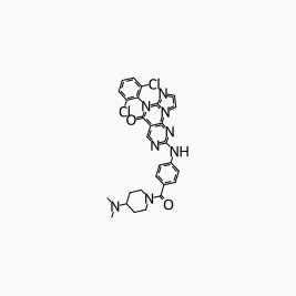 CN(C)C1CCN(C(=O)c2ccc(Nc3ncc4c(=O)n(-c5c(Cl)cccc5Cl)c5nccn5c4n3)cc2)CC1